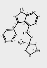 N[C@@]1(CNc2ccnc3[nH]cc(-c4cncnc4)c23)CCNC1